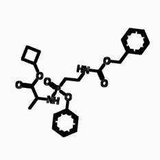 CC(NP(=O)(CCNC(=O)OCc1ccccc1)Oc1ccccc1)C(=O)OC1CCC1